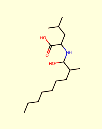 CCCCCCCC(C)C(O)NC(CC(C)C)C(=O)O